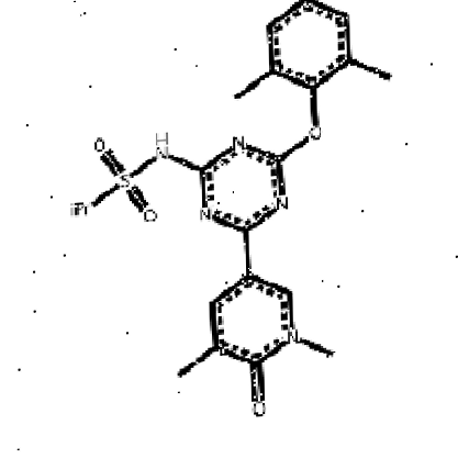 Cc1cccc(C)c1Oc1nc(NS(=O)(=O)C(C)C)nc(-c2cc(C)c(=O)n(C)c2)n1